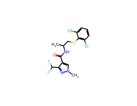 CC(CSc1c(Cl)cccc1Cl)NC(=O)c1cn(C)nc1C(F)F